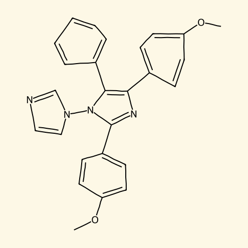 COc1ccc(-c2nc(-c3ccc(OC)cc3)n(-n3ccnc3)c2-c2ccccc2)cc1